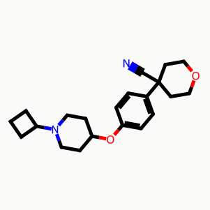 N#CC1(c2ccc(OC3CCN(C4CCC4)CC3)cc2)CCOCC1